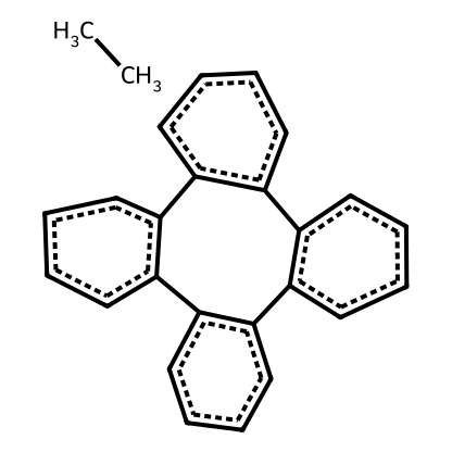 CC.c1ccc2c(c1)-c1ccccc1-c1ccccc1-c1ccccc1-2